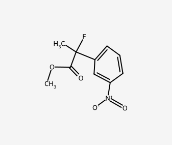 COC(=O)C(C)(F)c1cccc([N+](=O)[O-])c1